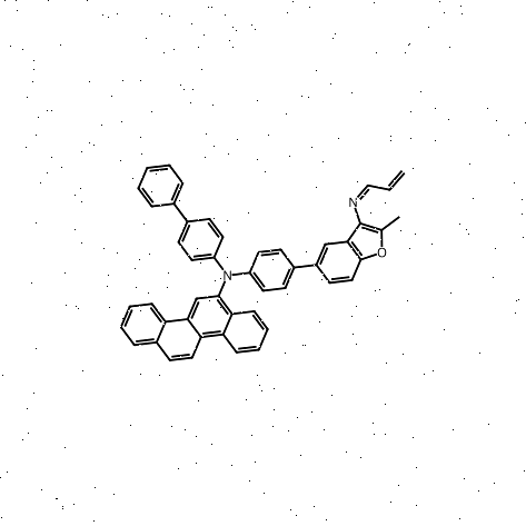 C=C/C=N\c1c(C)oc2ccc(-c3ccc(N(c4ccc(-c5ccccc5)cc4)c4cc5c6ccccc6ccc5c5ccccc45)cc3)cc12